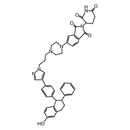 O=C1CCC(N2C(=O)c3ccc(N4CCN(CCCn5cc(-c6ccc(C7c8ccc(O)cc8CCC7c7ccccc7)cc6)cn5)CC4)cc3C2=O)C(=O)N1